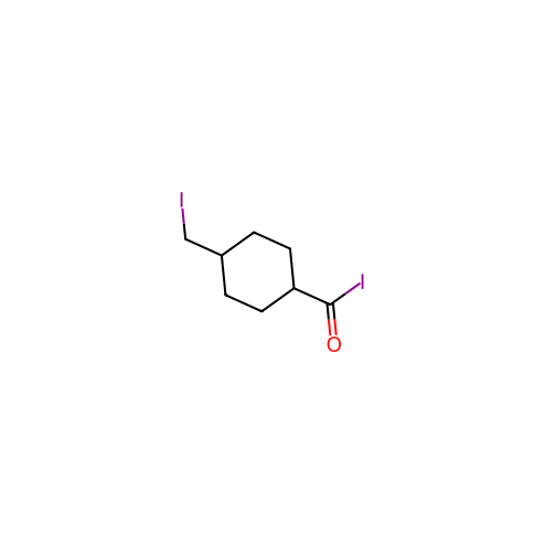 O=C(I)C1CCC(CI)CC1